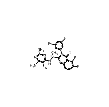 C[C@H](Nc1nc(N)nc(N)c1C#N)c1nc2ccc(F)c(F)c2c(=O)n1-c1cc(F)cc(F)c1